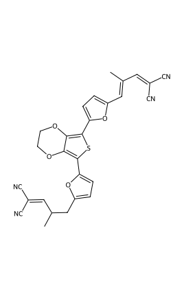 C/C(C=C(C#N)C#N)=C\c1ccc(-c2sc(-c3ccc(CC(C)C=C(C#N)C#N)o3)c3c2OCCO3)o1